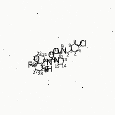 CN(Cc1ccc(Cl)cc1)C(=O)C1CCCN1C(=O)N[C@H]1CCOc2c(F)ccc(F)c21